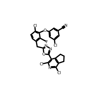 N#Cc1cc(Cl)cc(Oc2c(Cl)ccc(Cc3nnc(-c4c(Cl)nc(Cl)c5c4CCC5)o3)c2F)c1